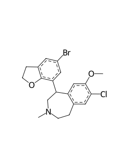 COc1cc2c(cc1Cl)CCN(C)CC2c1cc(Br)cc2c1OCC2